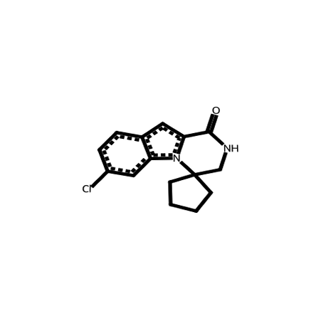 O=C1NCC2(CCCC2)n2c1cc1ccc(Cl)cc12